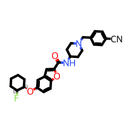 N#Cc1ccc(CN2CCC(NC(=O)c3cc4cc(O[C@H]5CCCC[C@@H]5F)ccc4o3)CC2)cc1